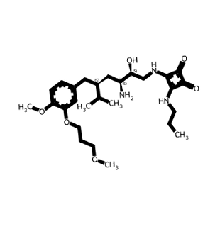 CCCNc1c(NC[C@H](O)[C@@H](N)C[C@H](Cc2ccc(OC)c(OCCCOC)c2)C(C)C)c(=O)c1=O